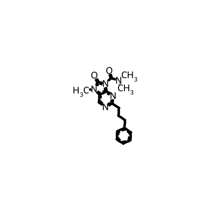 CN(C)C(=O)n1c(=O)n(C)c2cnc(CCCc3ccccc3)nc21